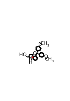 COc1ccc(C(O[C@H]2CN[C@H](CO)C2)(c2ccccc2)c2ccc(OC)cc2)cc1